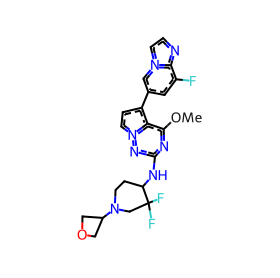 COc1nc(NC2CCN(C3COC3)CC2(F)F)nn2ccc(-c3cc(F)c4nccn4c3)c12